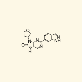 O=c1[nH]c2cnc(-c3ccc4cn[nH]c4c3)nc2n1C1CCOC1